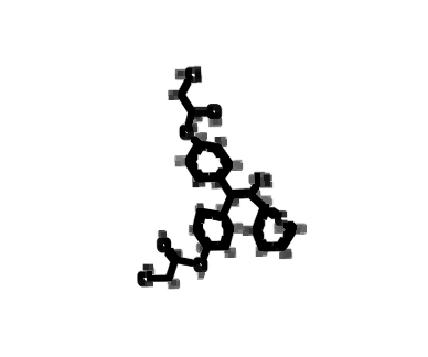 CCC(=C(c1ccc(OC(=O)CCl)cc1)c1ccc(OC(=O)CCl)cc1)c1ccccc1